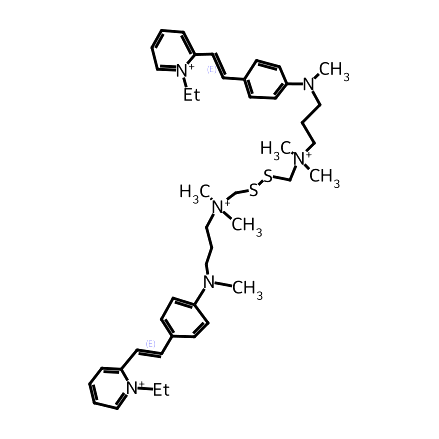 CC[n+]1ccccc1/C=C/c1ccc(N(C)CCC[N+](C)(C)CSSC[N+](C)(C)CCCN(C)c2ccc(/C=C/c3cccc[n+]3CC)cc2)cc1